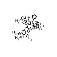 COc1cc(CC(CC(O[Si](C)(C)C(C)(C)C)C(Cc2ccccc2)NC(=O)OC(C)(C)C)C(=O)O)cc(OC)c1OC